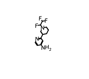 Nc1ccnc(C2CCCN(C(F)C(F)F)C2)c1